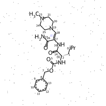 CC(C)C[C@H](NC(=O)OCc1ccccc1)C(=O)N/C(=C/N1CCN(C)CC1)C(N)=O